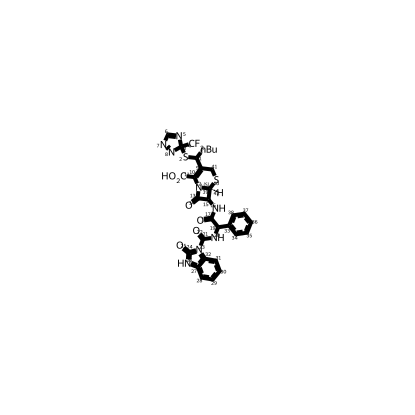 CCCCC(SC1(C(F)(F)F)N=CN=N1)C1=C(C(=O)O)N2C(=O)C(NC(=O)C(NC(=O)n3c(=O)[nH]c4ccccc43)c3ccccc3)[C@@H]2SC1